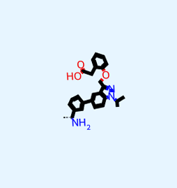 CC(C)n1nc(COc2ccccc2CC(=O)O)c2cc(-c3cccc([C@@H](C)N)c3)ccc21